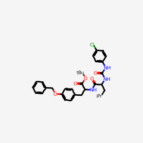 CC(C)CC(NC(=O)Nc1ccc(Cl)cc1)C(=O)NC(Cc1ccc(OCc2ccccc2)cc1)C(=O)OC(C)(C)C